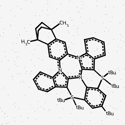 CC(C)(C)c1cc2c3c(c1)S(C(C)(C)C)(C(C)(C)C)c1c4ccccc4n4c5cc6c(cc5n5c7ccccc7c(c5n-3c14)S2(C(C)(C)C)C(C)(C)C)C1(C)CCC6(C)CC1